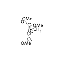 COCC(C)C(=O)N(Cc1ccc(-c2ccc(OC)nc2)cc1)c1cccc(/C=C/C(=O)OC)c1